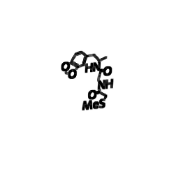 CSCC(=O)NCC(=O)NC(C)Cc1ccc2c(c1)OCO2